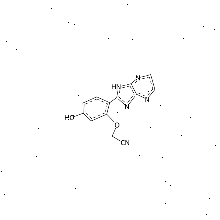 N#CCOc1cc(O)ccc1-c1nc2nccnc2[nH]1